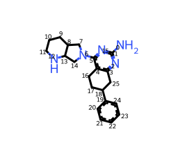 Nc1nc2c(c(N3CC4CCCNC4C3)n1)CCC(c1ccccc1)C2